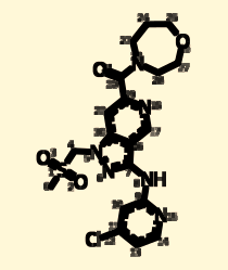 CS(=O)(=O)Cn1nc(Nc2cc(Cl)ccn2)c2cnc(C(=O)N3CCCOCC3)cc21